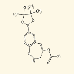 CC1(C)OB(c2ccc3c(c2)C=C(OC(=O)C(F)(F)F)CNO3)OC1(C)C